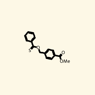 COC(=O)c1ccc(COC(=S)c2ccccc2)cc1